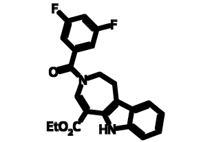 CCOC(=O)C1=CN(C(=O)c2cc(F)cc(F)c2)CCc2c1[nH]c1ccccc21